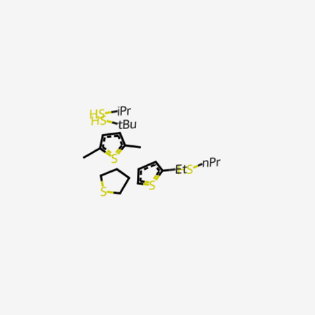 C1CCSC1.CC(C)(C)S.CC(C)S.CCCS.CCc1cccs1.Cc1ccc(C)s1